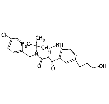 CC(C)(C)N(Cc1ccc(Cl)cc1)C(=O)c1c[nH]c2ccc(CCCO)cc2c1=O